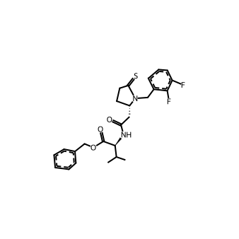 CC(C)[C@H](NC(=O)C[C@@H]1CCC(=S)N1Cc1cccc(F)c1F)C(=O)OCc1ccccc1